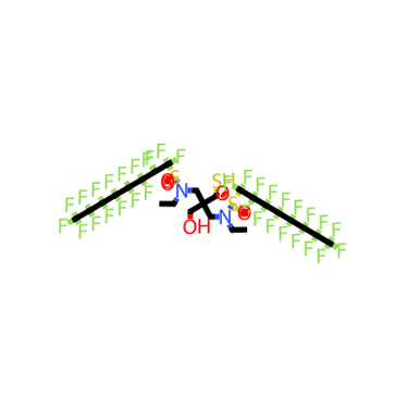 CCN(CC(CO)(CS)CN(CC)S(=O)(=O)C(F)(F)C(F)(F)C(F)(F)C(F)(F)C(F)(F)C(F)(F)C(F)(F)C(F)(F)F)S(=O)(=O)C(F)(F)C(F)(F)C(F)(F)C(F)(F)C(F)(F)C(F)(F)C(F)(F)C(F)(F)F